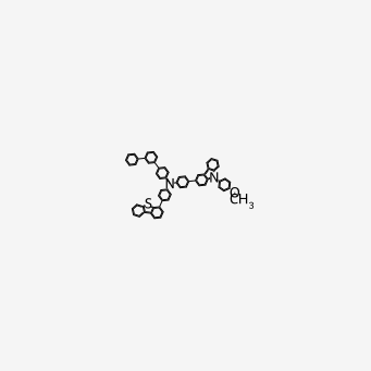 COc1ccc(-n2c3ccccc3c3cc(-c4ccc(N(c5ccc(-c6cccc(-c7ccccc7)c6)cc5)c5ccc(-c6cccc7c6sc6ccccc67)cc5)cc4)ccc32)cc1